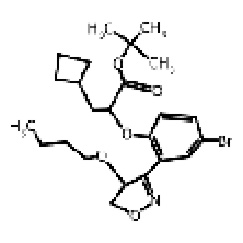 CCCCOC1CON=C1c1cc(Br)ccc1OC(CC1CCC1)C(=O)OC(C)(C)C